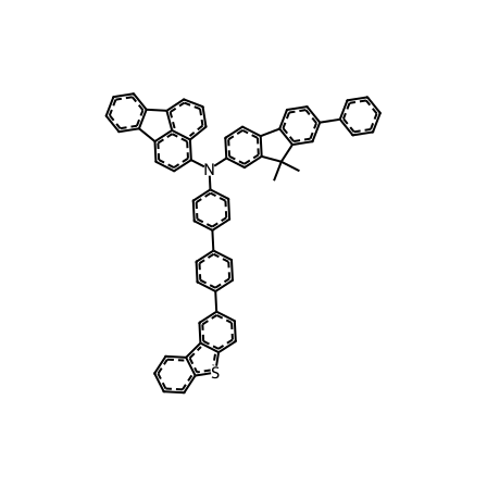 CC1(C)c2cc(-c3ccccc3)ccc2-c2ccc(N(c3ccc(-c4ccc(-c5ccc6sc7ccccc7c6c5)cc4)cc3)c3ccc4c5c(cccc35)-c3ccccc3-4)cc21